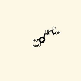 CC[C@H](CO)N[N]Cc1ccc(OC)c(O)c1